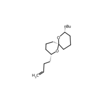 C=CCC[C@@H]1CCC[C@]2(CCC[C@@H](CCCC)O2)O1